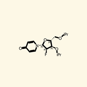 CC(C)OC[C@H]1O[C@@H](n2ccc(=O)cc2)[C@H](F)[C@@H]1OC(C)C